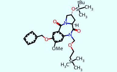 COc1cc2c(cc1OCc1ccccc1)C(=O)N1C[C@H](O[Si](C)(C)C(C)(C)C)C[C@H]1C(=O)N2COCC[Si](C)(C)C